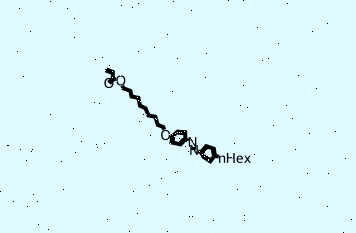 C=CC(=O)OCCCCCCCCCCOc1ccc(N=Nc2ccc(CCCCCC)cc2)cc1